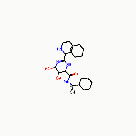 C[C@@H](NC(=O)C1NC(C2NCCC3=C2CCCC3)=NC(O)C1O)C1CCCCC1